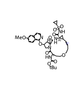 COc1ccc2c(OC3C[C@H]4C(=O)N[C@]5(C(=O)NS(=O)(=O)C6CC6)CC5/C=C\CCOCC[C@H](NC(=O)OC(C)(C)C)C(=O)N4C3)nccc2c1